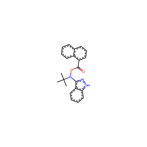 CC(C)(C)N(OC(=O)c1cccc2ccccc12)c1n[nH]c2ccccc12